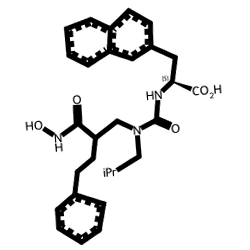 CC(C)CN(CC(CCc1ccccc1)C(=O)NO)C(=O)N[C@@H](Cc1ccc2ccccc2c1)C(=O)O